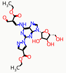 CCOC(=O)/C(C=O)=C\Nc1nc(-n2cc(C(=O)OCC)cn2)nc2c1ncn2[C@@H]1O[C@H](CO)[C@@H](O)[C@H]1O